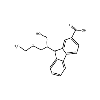 CCOCC(CO)n1c2ccccc2c2ccc(C(=O)O)cc21